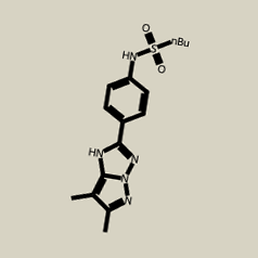 CCCCS(=O)(=O)Nc1ccc(-c2nn3nc(C)c(C)c3[nH]2)cc1